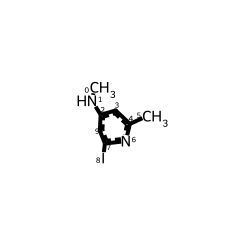 CNc1cc(C)nc(I)c1